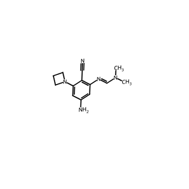 CN(C)/C=N/c1cc(N)cc(N2CCC2)c1C#N